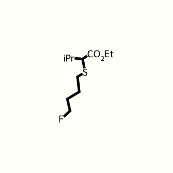 CCOC(=O)C(SCCCCF)C(C)C